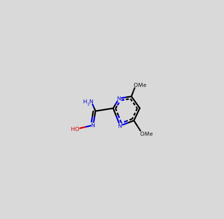 COc1cc(OC)nc(C(N)=NO)n1